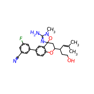 CC(C)=CC(CCO)C1CC2(N=C(N)N(C)O2)c2cc(-c3cc(F)cc(C#N)c3)ccc2O1